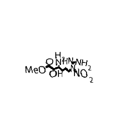 COC(=O)C(O)[C@@H](N)CCCN(C(=N)N)[N+](=O)[O-]